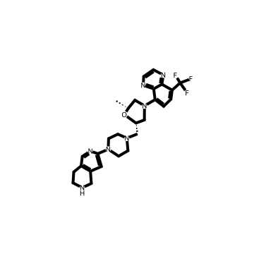 C[C@@H]1CN(c2ccc(C(F)(F)F)c3nccnc23)C[C@H](CN2CCN(c3cc4c(cn3)CCNC4)CC2)O1